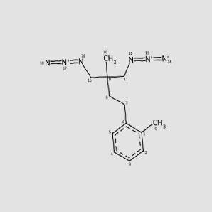 Cc1ccccc1CCC(C)(CN=[N+]=[N-])CN=[N+]=[N-]